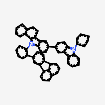 c1ccc(-n2c3ccccc3c3cc(-c4ccc5c(c4)c4ccc6ccccc6c4n5-c4ccccc4-c4ccc5c(c4)-c4cccc6cccc-5c46)ccc32)cc1